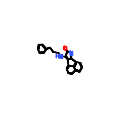 O=C1N=C2C(=C1NCCCc1ccccc1)c1cccc3cccc2c13